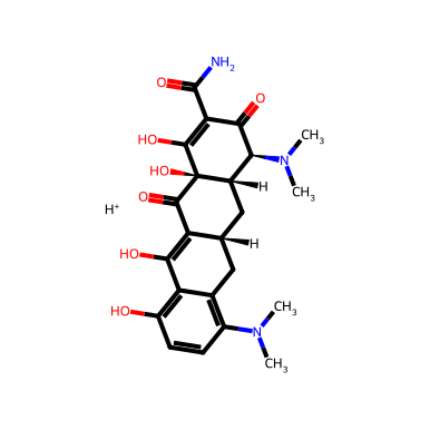 CN(C)c1ccc(O)c2c1C[C@H]1C[C@H]3[C@H](N(C)C)C(=O)C(C(N)=O)=C(O)[C@@]3(O)C(=O)C1=C2O.[H+]